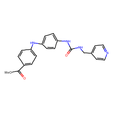 COC(=O)c1ccc(Nc2ccc(NC(=O)NCc3ccncc3)cc2)cc1